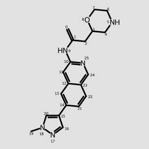 C=C(CC1CNCCO1)Nc1cc2cc(-c3cnn(C)c3)ccc2cn1